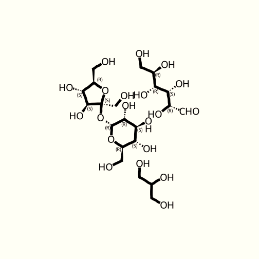 O=C[C@H](O)[C@@H](O)[C@H](O)[C@H](O)CO.OCC(O)CO.OC[C@H]1O[C@@](CO)(O[C@H]2O[C@H](CO)[C@@H](O)[C@H](O)[C@H]2O)[C@@H](O)[C@@H]1O